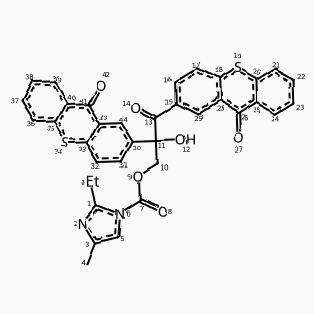 CCc1nc(C)cn1C(=O)OCC(O)(C(=O)c1ccc2sc3ccccc3c(=O)c2c1)c1ccc2sc3ccccc3c(=O)c2c1